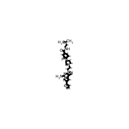 CN(C)CCNC(=O)c1ccc(N2CCN(CCn3ncc4c3nc(N)n3nc(-c5ccco5)cc43)CC2)c(F)c1